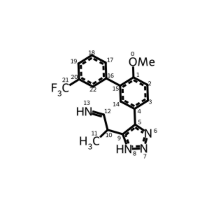 COc1ccc(-c2nn[nH]c2C(C)C=N)cc1-c1cccc(C(F)(F)F)c1